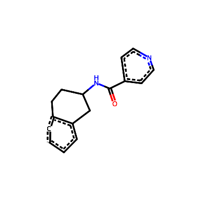 O=C(NC1CCc2ccccc2C1)c1ccncc1